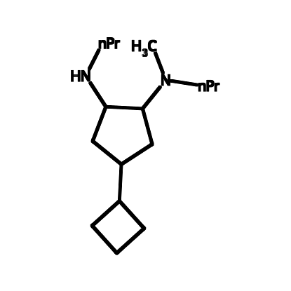 CCCNC1CC(C2CCC2)CC1N(C)CCC